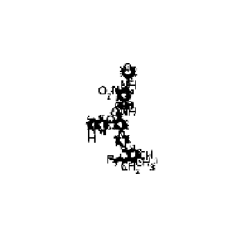 C=C(CCF)C1=C(CN2CCN(c3ccc(C(=O)NS(=O)(=O)c4ccc(NCC5CCOCC5)c([N+](=O)[O-])c4)c(Oc4cnc5[nH]ccc5c4)c3)CC2)CCC(C)(C)C1